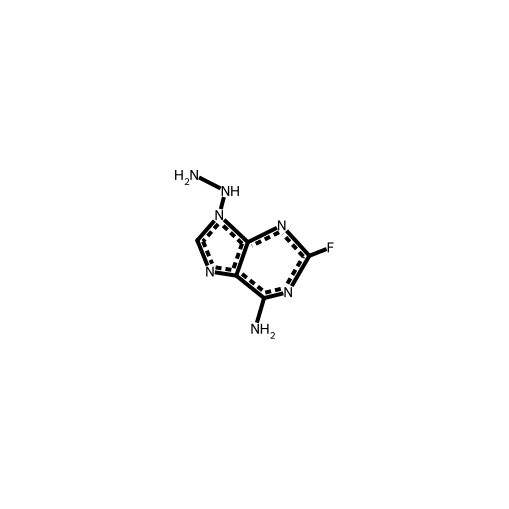 NNn1cnc2c(N)nc(F)nc21